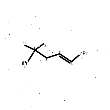 [CH2]C(C)C(C)(C)C/C=C/CCC